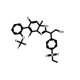 CCS(=O)(=O)c1ccc(C(CO)C2=NC3C(F)=C(c4ccccc4OC(F)(F)F)C(F)=CC3(C)N2)cc1